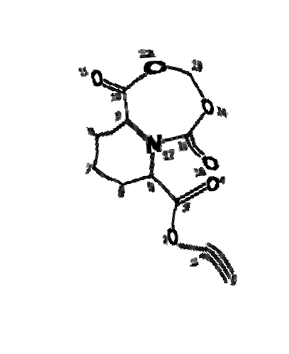 C#COC(=O)C1CCCC2C(=O)OCOC(=O)N12